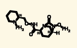 O=C(NOC[C@@H]1CCCCN1P)[C@@H]1CC[C@H]2CN1C(=O)N2OP